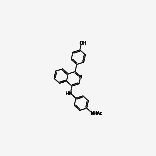 CC(=O)Nc1ccc(Nc2cnc(-c3ccc(O)cc3)c3ccccc23)cc1